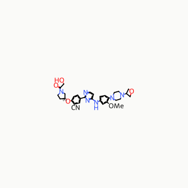 COc1cc(Nc2ccnc(-c3ccc(O[C@@H]4CCN(C(=O)CO)C4)c(C#N)c3)n2)ccc1N1CCN(C2COC2)CC1